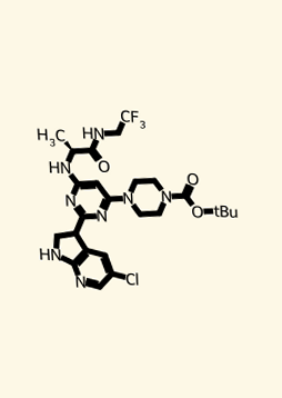 C[C@H](Nc1cc(N2CCN(C(=O)OC(C)(C)C)CC2)nc(C2CNc3ncc(Cl)cc32)n1)C(=O)NCC(F)(F)F